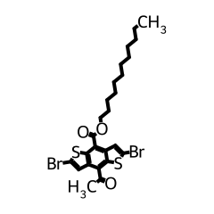 CCCCCCCCCCCCOC(=O)c1c2cc(Br)sc2c(C(C)=O)c2cc(Br)sc12